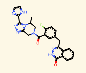 CC1CN(C(=O)c2cc(Cc3n[nH]c(=O)c4ccccc34)ccc2F)Cc2nnc(-c3ncc[nH]3)n21